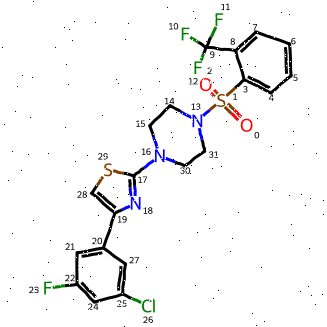 O=S(=O)(c1ccccc1C(F)(F)F)N1CCN(c2nc(-c3cc(F)cc(Cl)c3)cs2)CC1